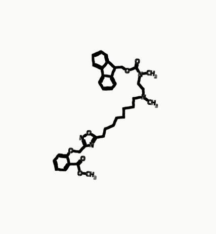 COC(=O)c1ccccc1OCc1noc(CCCCCCCCN(C)CCN(C)C(=O)OCC2c3ccccc3-c3ccccc32)n1